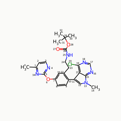 Cc1ccnc(Oc2ccc(-c3cn(C)c4ncnc(Cl)c34)c(CCNC(=O)OC(C)(C)C)c2)n1